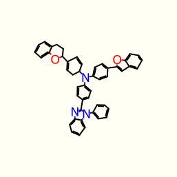 C1=CC(N(c2ccc(-c3cc4ccccc4o3)cc2)c2ccc(-c3nc4ccccc4n3-c3ccccc3)cc2)CC=C1C1CCc2ccccc2O1